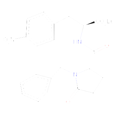 CCOC(=O)[C@H](Cc1ccc([N+](=O)[O-])cc1)NC(=O)[C@@H]1CCC(=O)N1Cc1ccccc1